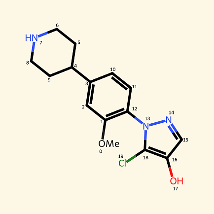 COc1cc(C2CCNCC2)ccc1-n1ncc(O)c1Cl